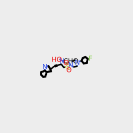 O=CN(O)C(C#Cc1cnc2ccccc2c1)CS(=O)(=O)N1CCN(c2ccc(F)cc2)CC1